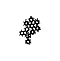 C1=CC(c2ccccc2-c2nc(-c3ccccc3)nc(-c3cccc(-c4cc(-c5ccccc5)c(-c5ccccc5)c(-c5ccccc5)c4-c4ccccc4)c3)n2)=CCC1